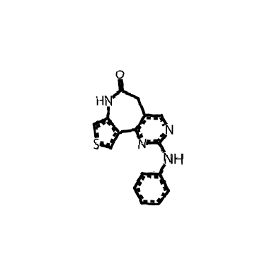 O=C1Cc2cnc(Nc3ccccc3)nc2-c2cscc2N1